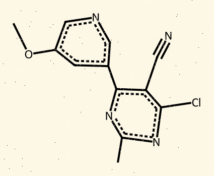 COc1cncc(-c2nc(C)nc(Cl)c2C#N)c1